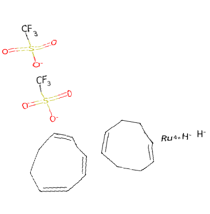 C1=C\C=C/CC\C=C/1.C1=C\CC/C=C\CC/1.O=S(=O)([O-])C(F)(F)F.O=S(=O)([O-])C(F)(F)F.[H-].[H-].[Ru+4]